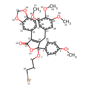 COc1ccc(C2(OCCCBr)OC(=O)C(c3ccc4c(c3)OCO4)=C2Cc2cc(OC)c(OC)c(OC)c2)cc1